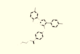 COc1ccc(C)cc1-n1cc(-c2ccc(C)cc2)c(Oc2ccc(C(=O)NCCC(C)=O)cc2)n1